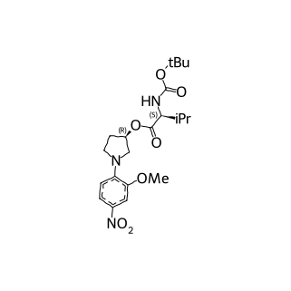 COc1cc([N+](=O)[O-])ccc1N1CC[C@@H](OC(=O)[C@@H](NC(=O)OC(C)(C)C)C(C)C)C1